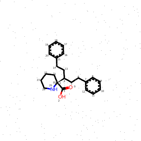 O=C(O)[C@@]1(C(CCc2ccccc2)CCc2ccccc2)CCCCN1